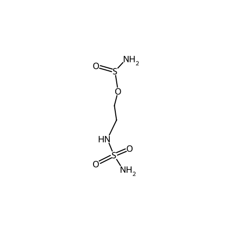 NS(=O)OCCNS(N)(=O)=O